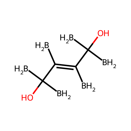 B/C(=C(/B)C(B)(B)O)C(B)(B)O